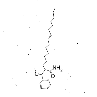 CCCCCCC=CCCCCCCC(C(N)=O)C(OC)c1ccccc1